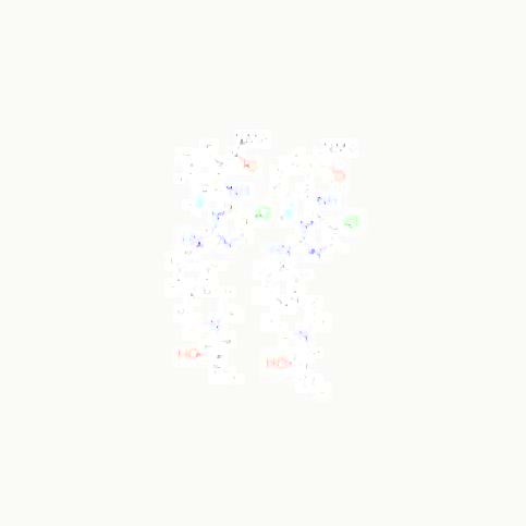 CNC(=O)c1cccc(F)c1Nc1nc(Nc2ccc3c(c2)CCN(C[C@@H](O)C(F)(F)F)CC3)ncc1Cl.CNC(=O)c1cccc(F)c1Nc1nc(Nc2ccc3c(c2)CCN(C[C@@H](O)C(F)(F)F)CC3)ncc1Cl